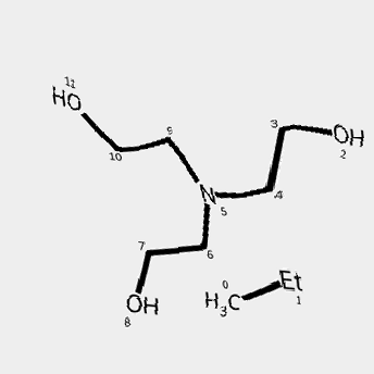 CCC.OCCN(CCO)CCO